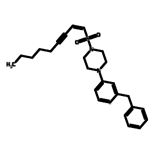 CCCCCC#C/C=C\S(=O)(=O)N1CCN(c2cc[c]c(Cc3ccccc3)c2)CC1